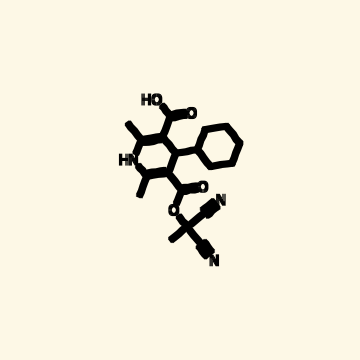 CC1=C(C(=O)O)C(C2CCCCC2)C(C(=O)OC(C)(C#N)C#N)=C(C)N1